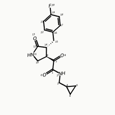 O=C(NCC1CC1)C(=O)[C@H]1CNC(=O)[C@@H]1Cc1ccc(F)cc1